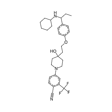 CCC(NC1CCCCC1)c1ccc(OCCC2(O)CCN(c3ccc(C#N)c(C(F)(F)F)c3)CC2)cc1